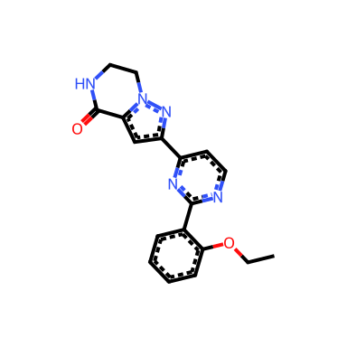 CCOc1ccccc1-c1nccc(-c2cc3n(n2)CCNC3=O)n1